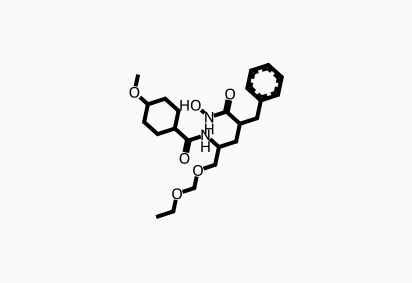 CCOCOCC(CC(Cc1ccccc1)C(=O)NO)NC(=O)C1CCC(OC)CC1